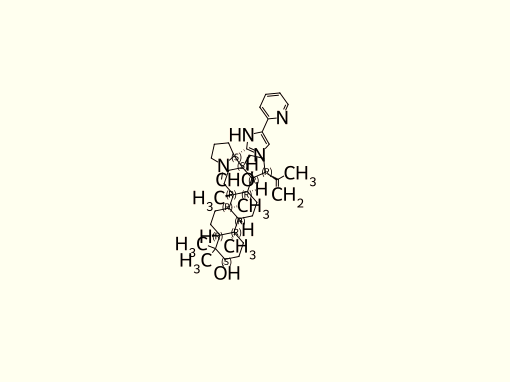 C=C(C)[C@@H]1CC[C@]2([C@]3(c4ncc(-c5ccccn5)[nH]4)CCCN3C=O)CC[C@]3(C)[C@H](CC[C@@H]4[C@@]5(C)CC[C@H](O)C(C)(C)[C@@H]5CC[C@]43C)[C@@H]12